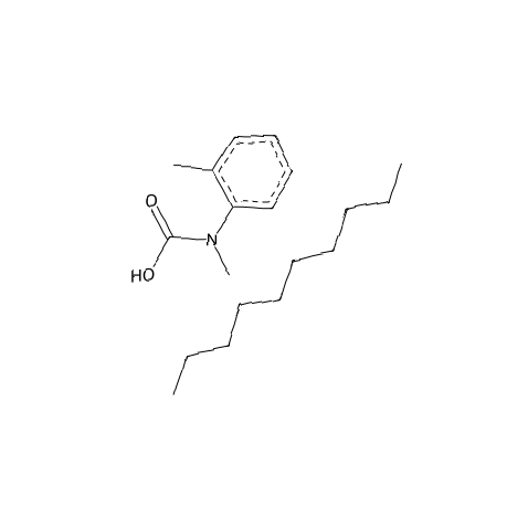 CCCCCCCCCC.Cc1ccccc1N(C)C(=O)O